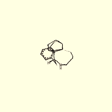 C1=C2[C@H]3Cc4cccc5c4[C@@]2(CCCN3)C(CC1)O5